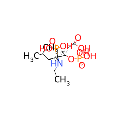 CCN[C@@](CC(C)C)([C@H](CC(=O)O)OP(=O)(O)O)P(=O)(O)O